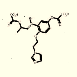 CC(CN(c1cc(OC(=O)C(=O)O)ccc1OCCn1ccnc1)C(C)C)OC(=O)C(=O)O